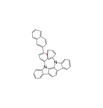 C1=C(c2ccc3ccccc3c2)CCC(n2c3ccccc3c3ccc4c5ccccc5n(-c5ccccc5)c4c32)=C1